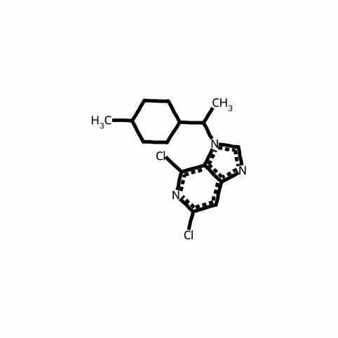 CC1CCC(C(C)n2cnc3cc(Cl)nc(Cl)c32)CC1